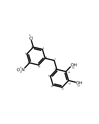 O=[N+]([O-])c1cc(Cl)cc(Cc2cccc(O)c2O)c1